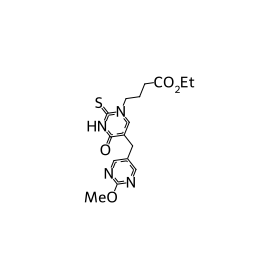 CCOC(=O)CCCn1cc(Cc2cnc(OC)nc2)c(=O)[nH]c1=S